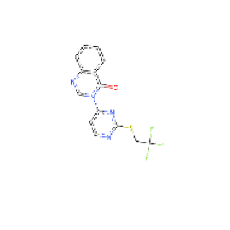 O=c1c2ccccc2ncn1-c1ccnc(SCC(F)(F)F)n1